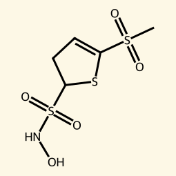 CS(=O)(=O)C1=CCC(S(=O)(=O)NO)S1